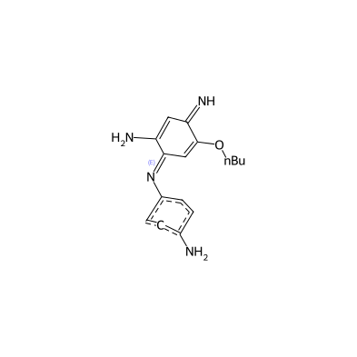 CCCCOC1=C/C(=N\c2ccc(N)cc2)C(N)=CC1=N